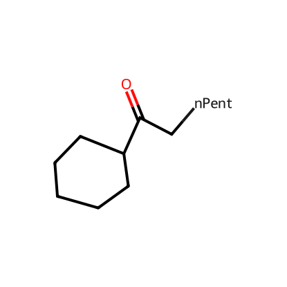 CCCCCCC(=O)C1CCCCC1